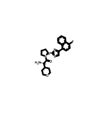 N[C@H](C(=O)N1CCC[C@H]1c1nc(-c2ccc(F)c3ccccc23)cs1)C1CCOCC1